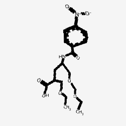 CCOCOCC(CC(COCC)C(=O)O)NC(=O)c1ccc([N+](=O)[O-])cc1